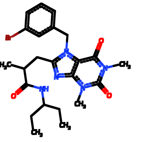 CCC(CC)NC(=O)C(C)Cc1nc2c(c(=O)n(C)c(=O)n2C)n1Cc1cccc(Br)c1